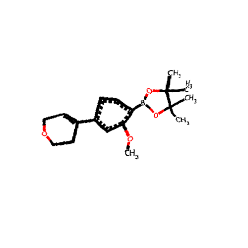 COc1cc(C2=CCOCC2)ccc1B1OC(C)(C)C(C)(C)O1